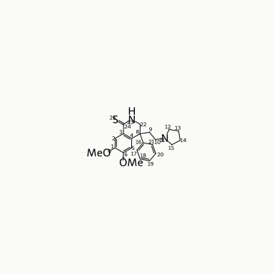 COc1cc2c(cc1OC)C(CCN1CCCC1)(c1ccccc1)CNC2=S